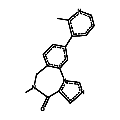 Cc1ncccc1-c1ccc2c(c1)-n1cncc1C(=O)N(C)C2